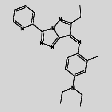 CCC1=Nn2c(nnc2-c2ccccn2)/C1=N\c1ccc(N(CC)CC)cc1C